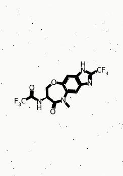 CN1C(=O)[C@@H](NC(=O)C(F)(F)F)COc2cc3[nH]c(C(F)(F)F)nc3cc21